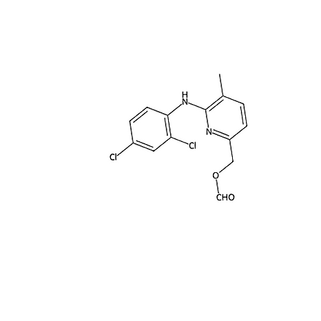 Cc1ccc(COC=O)nc1Nc1ccc(Cl)cc1Cl